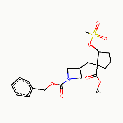 CC(C)(C)OC(=O)C1(CC2CN(C(=O)OCc3ccccc3)C2)CCCC1OS(C)(=O)=O